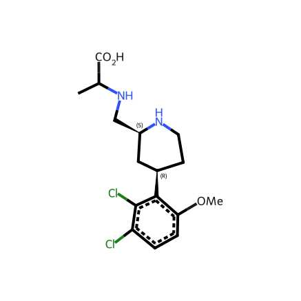 COc1ccc(Cl)c(Cl)c1[C@@H]1CCN[C@H](CNC(C)C(=O)O)C1